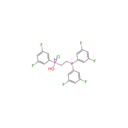 O[PH](Cl)(CCP(c1cc(F)cc(F)c1)c1cc(F)cc(F)c1)c1cc(F)cc(F)c1